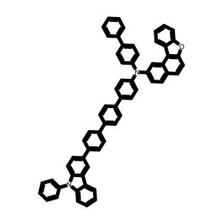 c1ccc(-c2ccc(N(c3ccc(-c4ccc(-c5ccc(-c6ccc7c(c6)c6ccccc6n7-c6ccccc6)cc5)cc4)cc3)c3ccc4ccc5oc6ccccc6c5c4c3)cc2)cc1